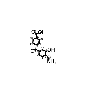 NOc1ccc(C(=O)c2ccc(C(=O)O)cc2)cc1O